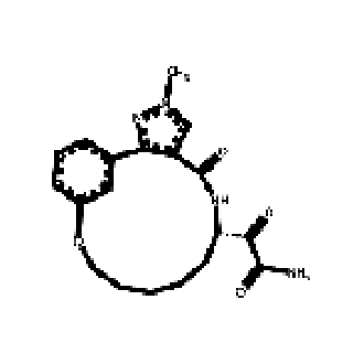 Cn1cc2c(n1)-c1cccc(c1)OCCCCC[C@@H](C(=O)C(N)=O)NC2=O